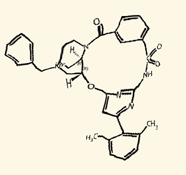 Cc1cccc(C)c1-c1cc2nc(n1)NS(=O)(=O)c1cccc(c1)C(=O)N1CCN(Cc3ccccc3)C[C@@H](O2)[C@H]1CC(C)C